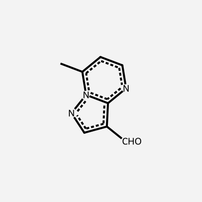 Cc1ccnc2c(C=O)cnn12